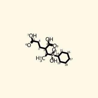 CC(C(CCC(=O)O)C(=O)O)P(=O)(O)C1CCCCC1